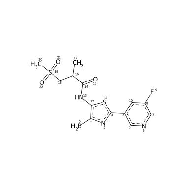 Bc1nc(-c2cncc(F)c2)sc1NC(=O)C(C)CS(C)(=O)=O